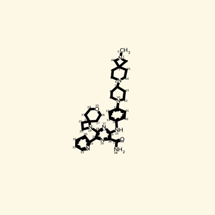 CN1CC2(CCN(C3CCN(c4ccc(Nc5nc(N6CCC67CCOCC7)c(-c6ccccn6)nc5C(N)=O)cc4)CC3)CC2)C1